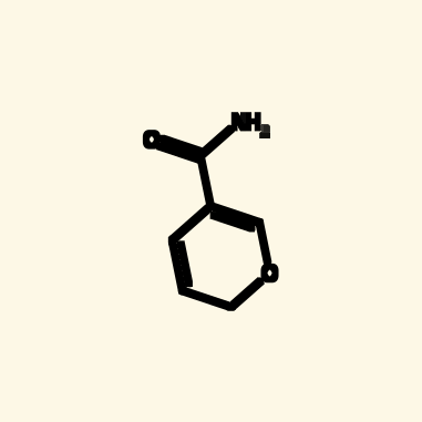 NC(=O)C1=COCC=C1